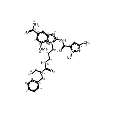 CCn1nc(C)cc1C(=O)Nc1nc2cc(C(N)=O)cc(OC)c2n1CCCNC(=O)N(Cc1ccccc1)CC(C)C